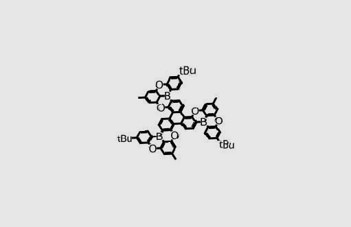 CC1=CC2Oc3c(ccc4c5c6c(ccc5c5c7c(ccc5c34)B3c4ccc(C(C)(C)C)cc4Oc4cc(C)cc(c43)O7)B3c4ccc(C(C)(C)C)cc4Oc4cc(C)cc(c43)O6)B3c4ccc(C(C)(C)C)cc4OC(=C1)C32